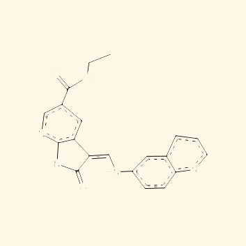 CCOC(=O)c1cnc2c(c1)C(=CNc1ccc3ncccc3c1)C(=O)N2